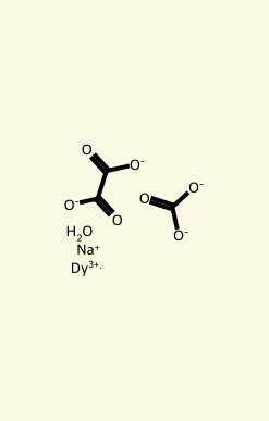 O.O=C([O-])C(=O)[O-].O=C([O-])[O-].[Dy+3].[Na+]